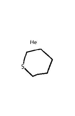 C1CCSCC1.[He]